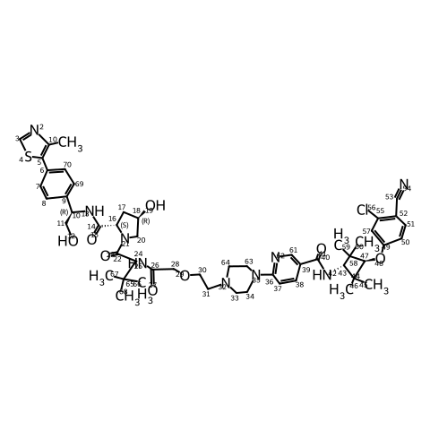 Cc1ncsc1-c1ccc([C@H](CO)NC(=O)[C@@H]2C[C@@H](O)CN2C(=O)C(NC(=O)COCCN2CCN(c3ccc(C(=O)N[C@H]4C(C)(C)[C@H](Oc5ccc(C#N)c(Cl)c5)C4(C)C)cn3)CC2)C(C)(C)C)cc1